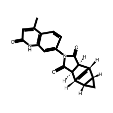 Cc1cc(=O)[nH]c2cc(N3C(=O)[C@@H]4[C@@H]5C=C[C@@H]([C@@H]6C[C@H]56)[C@@H]4C3=O)ccc12